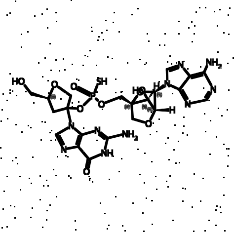 Nc1nc2c(ncn2C2(OP(=O)(S)OC[C@@]34CO[C@@H]([C@H](n5cnc6c(N)ncnc65)O3)[C@@H]4O)CO[C@H](CO)C2)c(=O)[nH]1